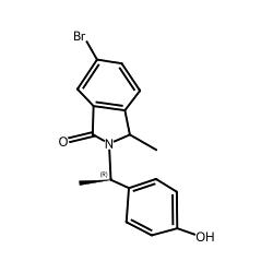 CC1c2ccc(Br)cc2C(=O)N1[C@H](C)c1ccc(O)cc1